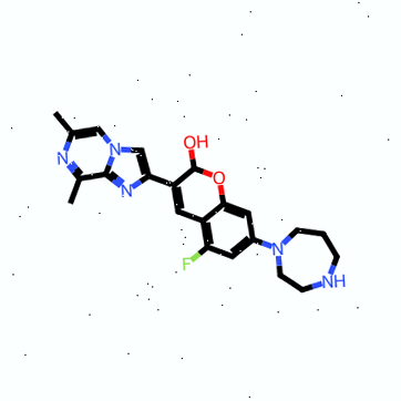 Cc1cn2cc(C3=Cc4c(F)cc(N5CCCNCC5)cc4OC3O)nc2c(C)n1